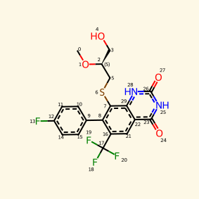 CO[C@@H](CO)CSc1c(-c2ccc(F)cc2)c(C(F)(F)F)cc2c(=O)[nH]c(=O)[nH]c12